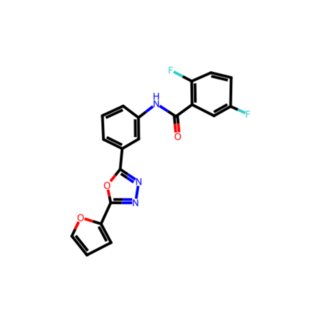 O=C(Nc1cccc(-c2nnc(-c3ccco3)o2)c1)c1cc(F)ccc1F